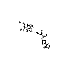 Cc1cc(C)c(S(=O)(=O)CNCC=CC(=O)N(C)Cc2ccc(C3=NCCN3)cc2)c(C)c1